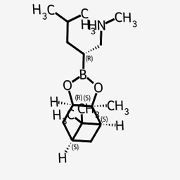 CNC[C@@H](CC(C)C)B1O[C@@H]2C[C@@H]3C[C@@H](C3(C)C)[C@]2(C)O1